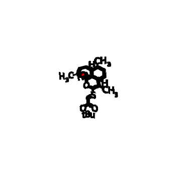 C[C@H]1[C@H](SCC(=O)OC(C)(C)C)O[C@@H]2O[C@]3(C)CC[C@H]4[C@H](C)CC[C@@H]1[C@@]24OO3